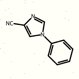 N#Cc1cn(-c2ccccc2)cn1